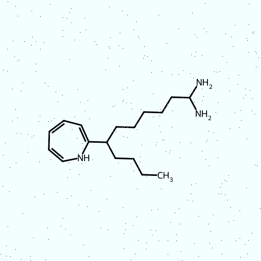 CCCCC(CCCCCC(N)N)C1=CC=CC=CN1